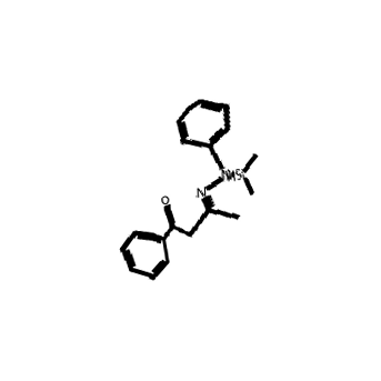 CC(CC(=O)c1ccccc1)=NN(c1ccccc1)[SiH](C)C